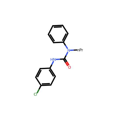 CCCN(C(=O)Nc1ccc(Cl)cc1)c1ccccc1